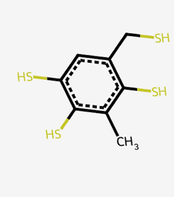 Cc1c(S)c(S)cc(CS)c1S